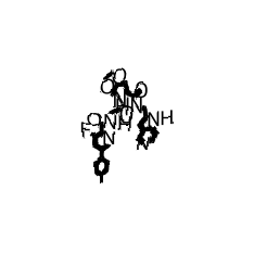 Cc1ccc(-c2cnc(C(=O)NCC(=O)N3CC4(CC3C(=O)NCc3cc5cnccc5[nH]3)OCCO4)c(F)c2)cc1